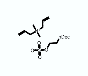 C=CC[N+](C)(C)CC=C.CCCCCCCCCCCCOS(=O)(=O)[O-]